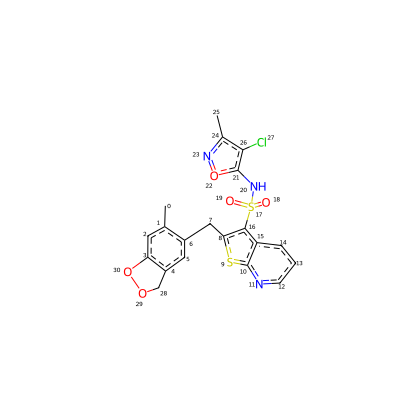 Cc1cc2c(cc1Cc1sc3ncccc3c1S(=O)(=O)Nc1onc(C)c1Cl)COO2